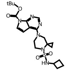 CC(C)(C)OC(=O)n1ccc2c(N3CCN(S(=O)(=O)NC4CCC4)C4(CC4)C3)ncnc21